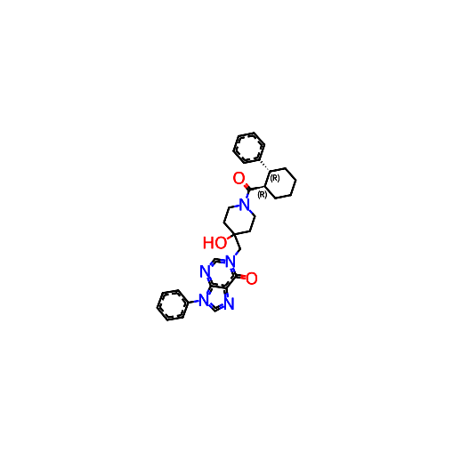 O=C([C@@H]1CCCC[C@H]1c1ccccc1)N1CCC(O)(Cn2cnc3c(ncn3-c3ccccc3)c2=O)CC1